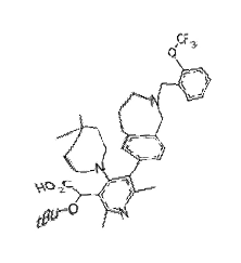 Cc1nc(C)c(C(OC(C)(C)C)C(=O)O)c(N2CCC(C)(C)CC2)c1-c1ccc2c(c1)CCN(Cc1ccccc1OC(F)(F)F)C2